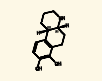 Oc1ccc2c(c1O)CC[C@H]1NCCC[C@@H]21